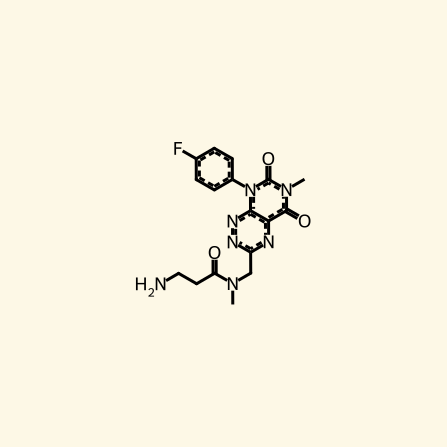 CN(Cc1nnc2c(n1)c(=O)n(C)c(=O)n2-c1ccc(F)cc1)C(=O)CCN